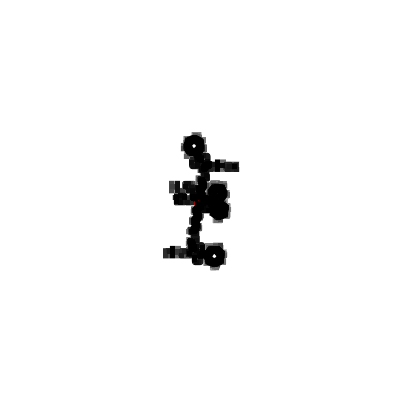 CCCCCCC(CSCCCCCC(CCCCCSCC(CCCCCC)OC(=O)C1CCCCCC1)NC(CCC(O[SiH3])C(C)(C)C)(c1ccccc1)c1ccccc1)OC(=O)C1CCCCCC1